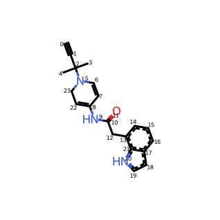 C#CC(C)(C)N1C=CC(NC(=O)Cc2cccc3cc[nH]c23)=CC1